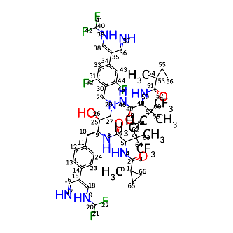 CC1(C(=O)NC(C(=O)N[C@@H](Cc2ccc(/C(C=N)=C/NC(F)F)cc2)[C@@H](O)CN(Cc2c(F)cc(/C(C=N)=C/NC(F)F)cc2F)NC(=O)[C@@H](NC(=O)C2(C)CC2)C(C)(C)C(F)(F)F)C(C)(C)C(F)(F)F)CC1